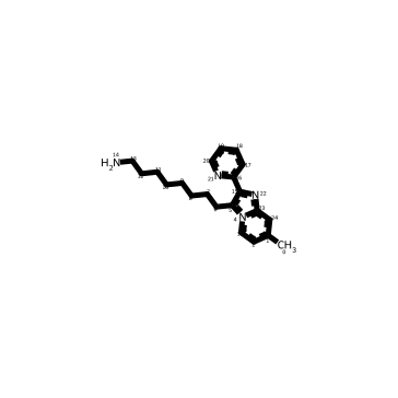 Cc1ccn2c(CCCCCCCCN)c(-c3ccccn3)nc2c1